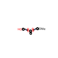 COc1ccc(/C=C/C(=O)Oc2ccc(OC(=O)/C=C/c3ccc(O)cc3)c3c2C2CCC3C2)cc1